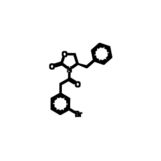 O=C(Cc1cccc(Br)c1)N1C(=O)OC[C@H]1Cc1ccccc1